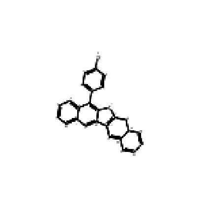 Brc1ccc(-c2c3ccccc3cc3c4c(oc23)CC2C=CC=CC2=C4)cc1